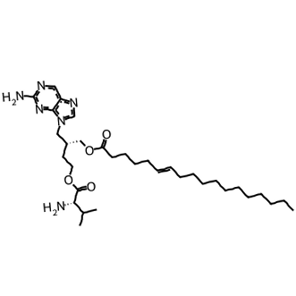 CCCCCCCCCCCC=CCCCCC(=O)OC[C@H](CCOC(=O)[C@@H](N)C(C)C)Cn1cnc2cnc(N)nc21